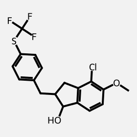 COc1ccc2c(c1Cl)CC(Cc1ccc(SC(F)(F)F)cc1)C2O